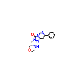 O=c1n(C[C@@H]2COCCN2)nc2cc(-c3ccccc3)ncn12